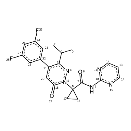 CC(C)c1nn(C2(C(=O)Nc3ncccn3)CC2)c(=O)cc1-c1cc(F)cc(F)c1